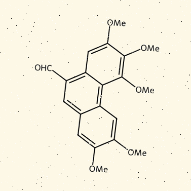 COc1cc2cc(C=O)c3cc(OC)c(OC)c(OC)c3c2cc1OC